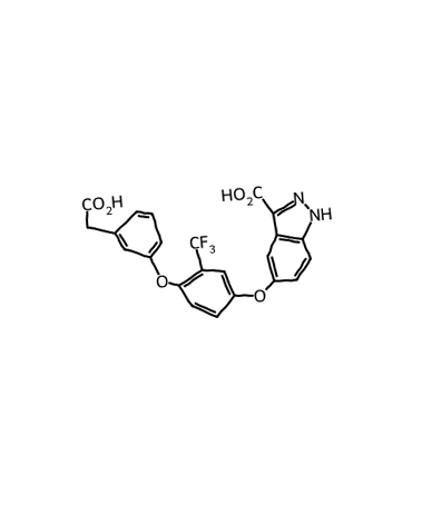 O=C(O)Cc1cccc(Oc2ccc(Oc3ccc4[nH]nc(C(=O)O)c4c3)cc2C(F)(F)F)c1